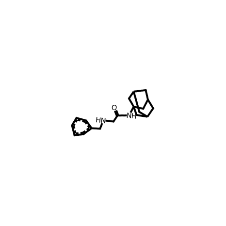 O=C(CNCc1ccccc1)NC12CC3CC(CC(C3)C1)C2